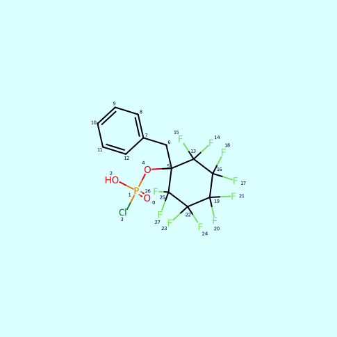 O=P(O)(Cl)OC1(Cc2ccccc2)C(F)(F)C(F)(F)C(F)(F)C(F)(F)C1(F)F